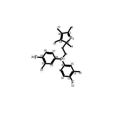 CC1=PC(C)(CCP(c2ccc(F)c(C)c2)c2ccc(F)c(C)c2)C(C)=C1C